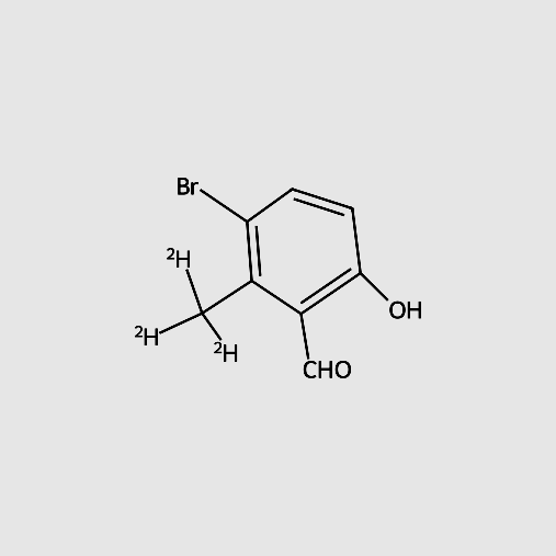 [2H]C([2H])([2H])c1c(Br)ccc(O)c1C=O